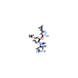 Cn1nc(C2CC2)cc1Oc1cc(C#N)ccc1-n1ncc2c1CCNC2